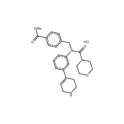 COC(=O)c1ccc(CN(C(=O)N2CCOCC2)c2cccc(C3=CCNCC3)c2)cc1.Cl